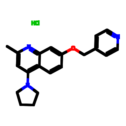 Cc1cc(N2CCCC2)c2ccc(OCc3ccncc3)cc2n1.Cl